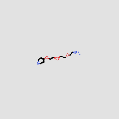 NCCOCCOCCOc1ccncc1